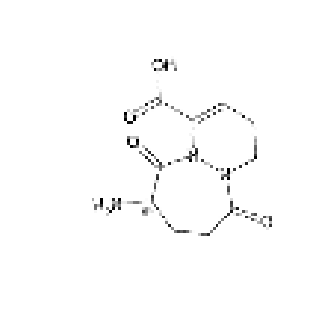 N[C@H]1CCC(=O)N2CCC=C(C(=O)O)N2C1=O